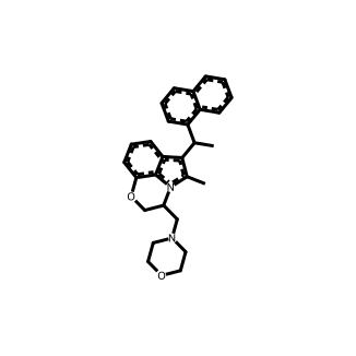 Cc1c(C(C)c2cccc3ccccc23)c2cccc3c2n1C(CN1CCOCC1)CO3